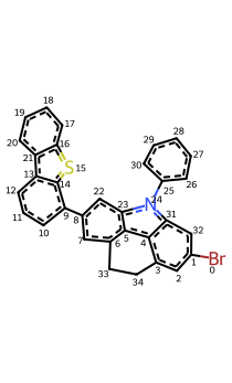 Brc1cc2c3c4c(cc(-c5cccc6c5sc5ccccc56)cc4n(-c4ccccc4)c3c1)CC2